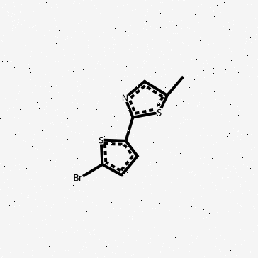 Cc1cnc(-c2ccc(Br)s2)s1